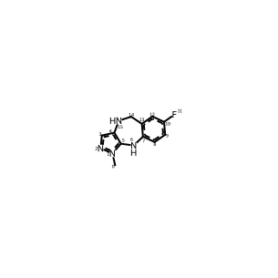 Cn1ncc2c1Nc1ccc(F)cc1CN2